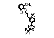 Cc1cccc(C)c1OCCCc1cc(-c2noc(C(F)(F)F)n2)cc[n+]1[O-]